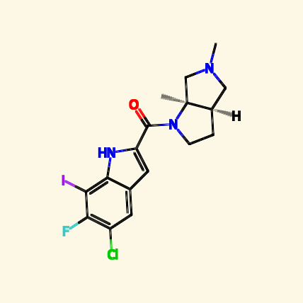 CN1C[C@H]2CCN(C(=O)c3cc4cc(Cl)c(F)c(I)c4[nH]3)[C@@]2(C)C1